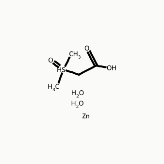 C[SH](C)(=O)CC(=O)O.O.O.[Zn]